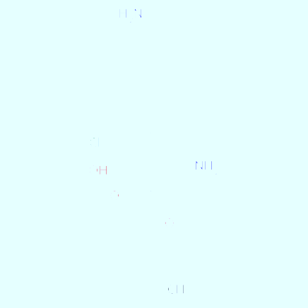 CCOC(=O)[C@@H](N)CCCCN.OCl